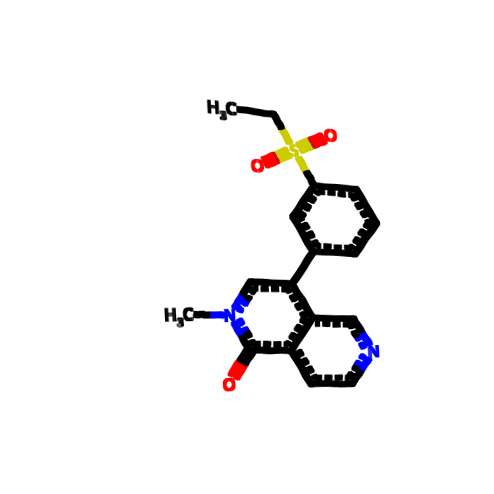 CCS(=O)(=O)c1cccc(-c2cn(C)c(=O)c3ccncc23)c1